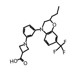 CCCC1CN(c2cccc(N3CC(C(=O)O)C3)c2)c2ccc(C(F)(F)F)cc2O1